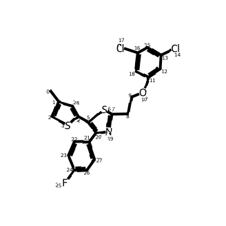 Cc1csc(-c2sc(CCOc3cc(Cl)cc(Cl)c3)nc2-c2ccc(F)cc2)c1